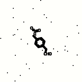 O=CCc1ccc(C[SH](=O)=O)cc1